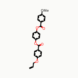 C=CCOc1ccc(C(=O)Oc2ccc(OC(=O)c3ccc(OC)cc3)cc2)cc1